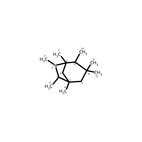 CC1N(C)C2(C)CC1(C)CC(C)(C)C2C